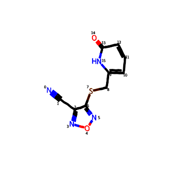 N#Cc1nonc1SCc1cccc(=O)[nH]1